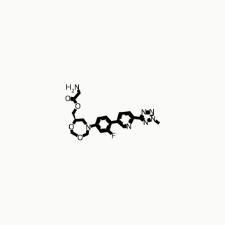 Cn1nnc(-c2ccc(-c3ccc(N4COCO[C@@H](COC(=O)CN)C4)cc3F)cn2)n1